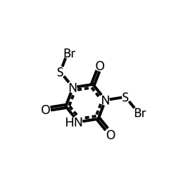 O=c1[nH]c(=O)n(SBr)c(=O)n1SBr